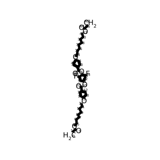 C=CC(=O)OCCCCCCCCOc1ccc(C(=O)Oc2cc(F)c(OC(=O)c3ccc(OCCCCCCCCOC(=O)C=C)cc3)c(F)c2)cc1